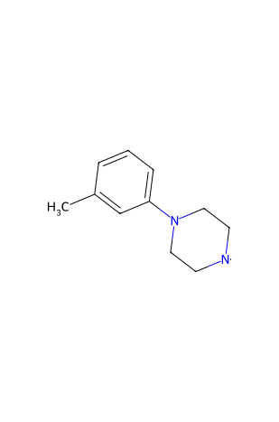 Cc1cccc(N2CC[N]CC2)c1